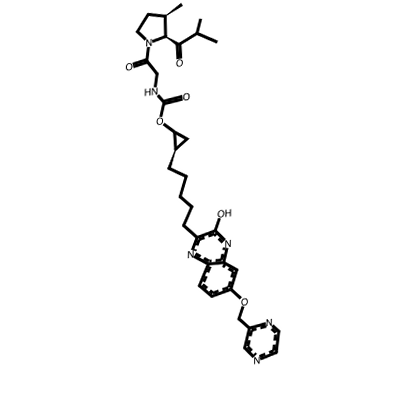 CC(C)C(=O)[C@@H]1[C@H](C)CCN1C(=O)CNC(=O)OC1C[C@H]1CCCCCc1nc2ccc(OCc3cnccn3)cc2nc1O